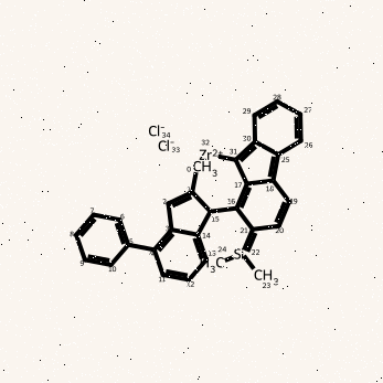 CC1=Cc2c(-c3ccccc3)cccc2C1c1c2c(ccc1=[Si](C)C)=c1ccccc1=[C]2[Zr+2].[Cl-].[Cl-]